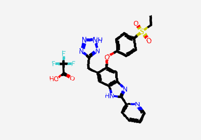 CCS(=O)(=O)c1ccc(Oc2cc3nc(-c4ccccn4)[nH]c3cc2Cc2nn[nH]n2)cc1.O=C(O)C(F)(F)F